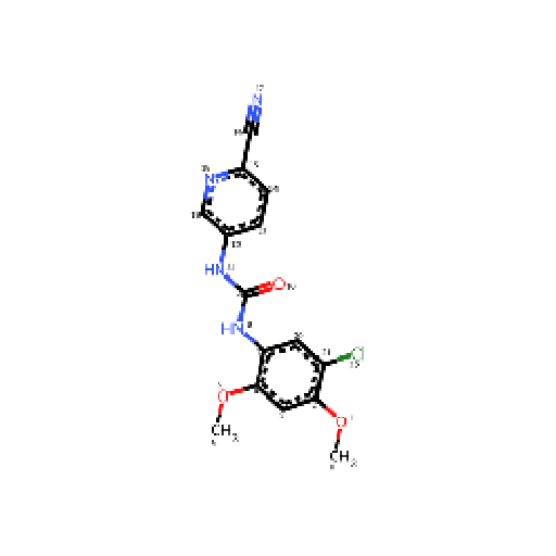 COc1cc(OC)c(NC(=O)Nc2ccc(C#N)nc2)cc1Cl